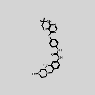 CCN1CCN(Cc2ccc(NC(=O)Nc3ccc(Oc4ncnc5c4OCC(C)(C)N5)cc3)cc2C(F)(F)F)CC1